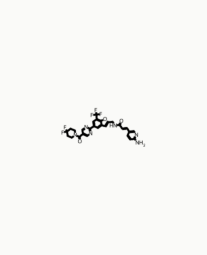 Nc1ccc(C=CC(=O)NCc2cc3cc(-c4ncc(C(=O)N5CCC(F)(F)CC5)cn4)cc(C(F)(F)F)c3o2)cn1